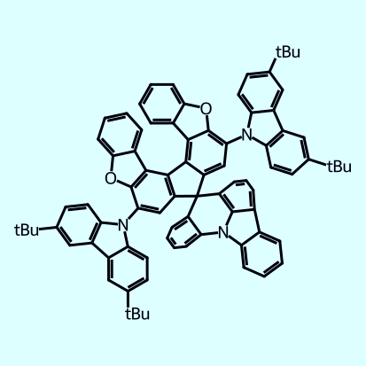 CC(C)(C)c1ccc2c(c1)c1cc(C(C)(C)C)ccc1n2-c1cc2c(c3c1oc1ccccc13)-c1c(cc(-n3c4ccc(C(C)(C)C)cc4c4cc(C(C)(C)C)ccc43)c3oc4ccccc4c13)C21c2ccccc2-n2c3ccccc3c3cccc1c32